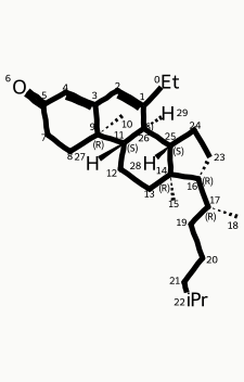 CCC1=CC2=CC(=O)CC[C@]2(C)[C@H]2CC[C@]3(C)[C@@H]([C@H](C)CCCC(C)C)CC[C@H]3[C@H]12